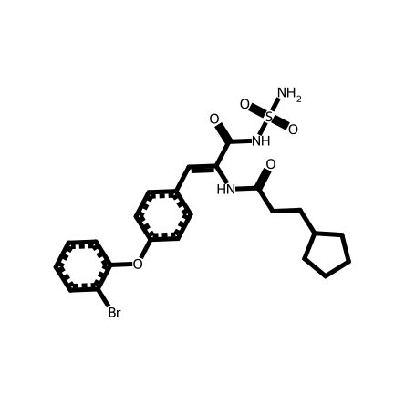 NS(=O)(=O)NC(=O)C(=Cc1ccc(Oc2ccccc2Br)cc1)NC(=O)CCC1CCCC1